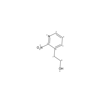 O=[N+]([O-])c1ncccc1CCO